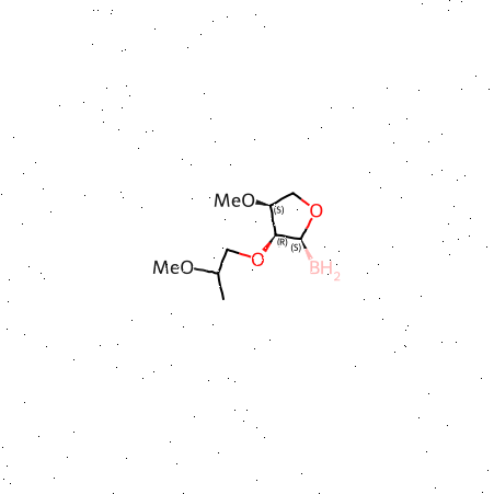 B[C@@H]1OC[C@H](OC)[C@@H]1OCC(C)OC